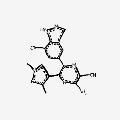 Cc1nn(C)cc1-c1nc(N)c(C#N)nc1-c1cc(Cl)c2[nH]ncc2c1